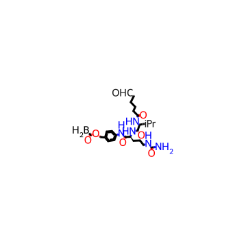 BC(=O)OCc1ccc(NC(=O)[C@H](CCCNC(N)=O)NC(=O)C(NC(=O)CCCCC=O)C(C)C)cc1